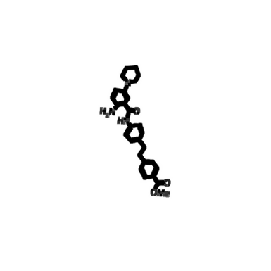 COC(=O)c1ccc(CCc2ccc(NC(=O)c3cc(N4CCCCC4)ccc3N)cc2)cc1